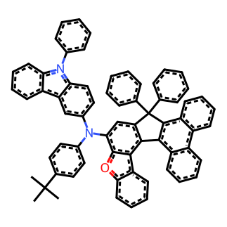 CC(C)(C)c1ccc(N(c2ccc3c(c2)c2ccccc2n3-c2ccccc2)c2cc3c(c4c2oc2ccccc24)-c2c(c4ccccc4c4ccccc24)C3(c2ccccc2)c2ccccc2)cc1